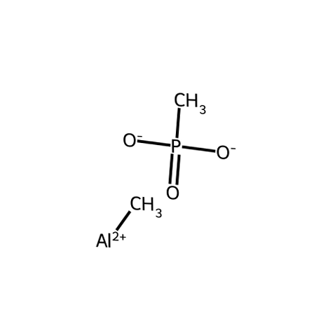 CP(=O)([O-])[O-].[CH3][Al+2]